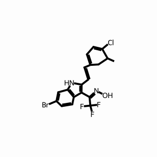 CC1CC(/C=C/c2[nH]c3cc(Br)ccc3c2/C(=N/O)C(F)(F)F)=CC=C1Cl